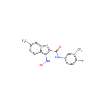 O=C(Nc1ccc(F)c(C(F)(F)F)c1)c1sc2cc(C(F)(F)F)ccc2c1NO